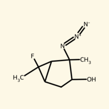 CC1(F)C2CC(O)C(C)(N=[N+]=[N-])C21